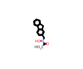 O=C(O)C(=O)N(O)Cc1ccc2c(c1)Cc1ccccc1-2